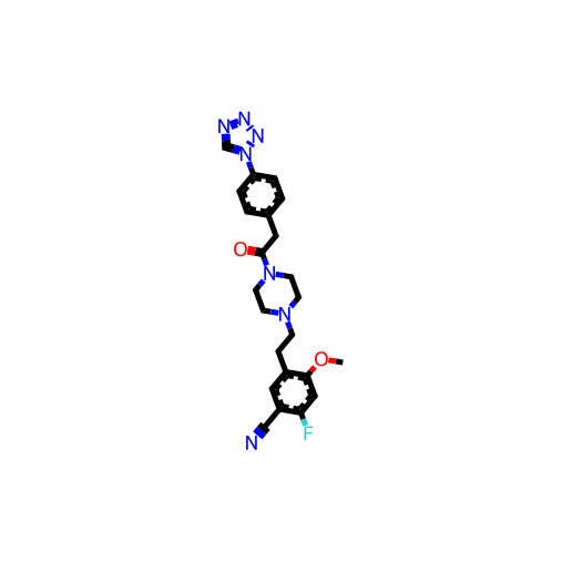 COc1cc(F)c(C#N)cc1CCN1CCN(C(=O)Cc2ccc(-n3cnnn3)cc2)CC1